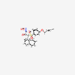 CC#CCOc1ccc(S(=O)(=O)C(C(=O)NO)c2cccc3ccccc23)cc1